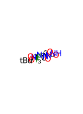 Cn1c(=O)n(C2CCC(=O)NC2=O)c2cccc(C3CN(C4CCN(C(=O)OC(C)(C)C)CC4(F)F)C3)c21